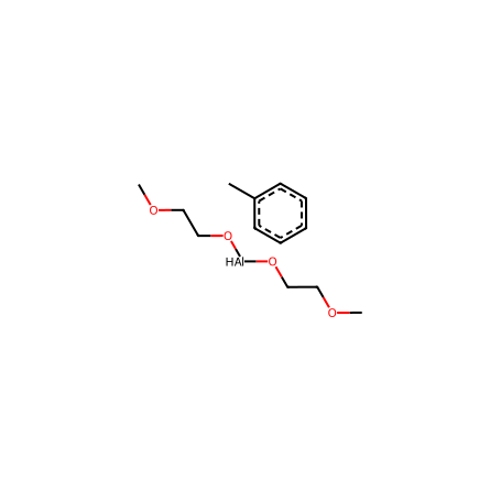 COCC[O][AlH][O]CCOC.Cc1ccccc1